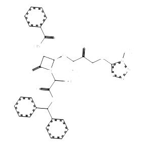 C[C@H](O[C@@H]1[C@@H](NC(=O)c2ccccc2)C(=O)N1C(O)C(=O)OC(c1ccccc1)c1ccccc1)C(=O)CSc1nnnn1C